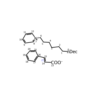 CCCCCCCCCCCCCCCC[n+]1ccccc1.O=C([O-])/C=C/c1ccccc1